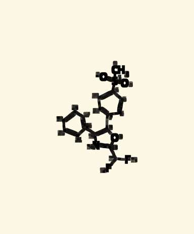 CS(=O)(=O)c1ccc(-c2oc(C(F)F)nc2-c2ccccc2)cc1